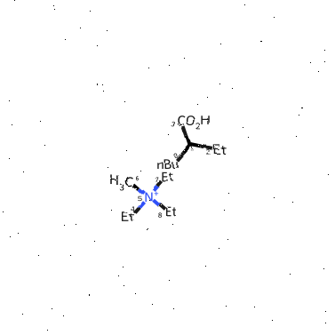 CCCCC(CC)C(=O)O.CC[N+](C)(CC)CC